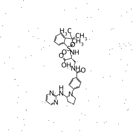 CC(C)(C)c1ccccc1S(=O)(=O)N[C@@H](CNC(=O)c1ccc(N2CCCC2Nc2ncccn2)cc1)C(=O)O